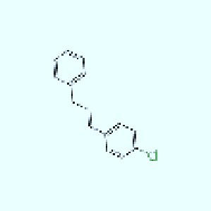 Clc1ccc(C=CCc2ccccc2)cc1